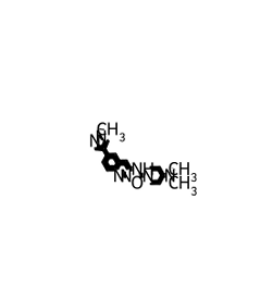 CN(C)C1CCN(C(=O)Nc2cc3cc(-c4cnn(C)c4)ccc3nn2)CC1